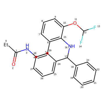 CCC(=O)NCCc1cccc(OC(F)F)c1NC(c1ccccc1)c1ccccc1